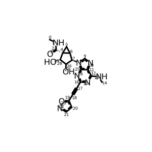 CNC(=O)[C@]12CC1[C@@H](n1cnc3c(NC)nc(C#Cc4ccno4)nc31)C(O)[C@@H]2O